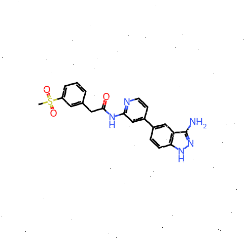 CS(=O)(=O)c1cccc(CC(=O)Nc2cc(-c3ccc4[nH]nc(N)c4c3)ccn2)c1